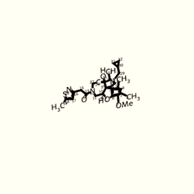 COc1c(C)cc(C)c2c1O[C@H]1CN(C(=O)Cc3cc(C)sn3)CCC3(O)C(C)N(CC4CC4)CCC213